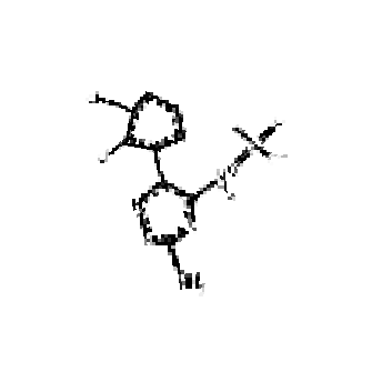 CS(=O)(=O)O.Nc1nnc(-c2cccc(Cl)c2Cl)c(N)n1